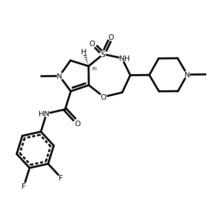 CN1CCC(C2COC3=C(C(=O)Nc4ccc(F)c(F)c4)N(C)C[C@H]3S(=O)(=O)N2)CC1